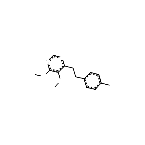 COc1ncnc(CCc2ccc(C)cc2)c1OC